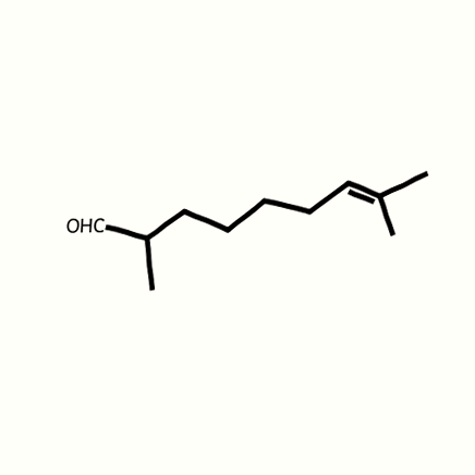 CC(C)=CCCCCC(C)C=O